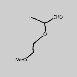 [CH2]C(C=O)OCCOC